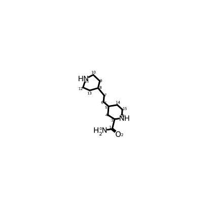 NC(=O)C1CC([CH]CC2CCNCC2)CCN1